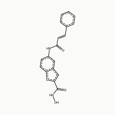 O=C(C=Cc1ccccc1)Nc1ccc2sc(C(=O)NO)cc2c1